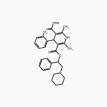 COC(=O)C1=C(C)NC(C)=C(C(=O)OC(CN2CCCCC2)c2ccccc2)C1c1ccccc1C(F)(F)F